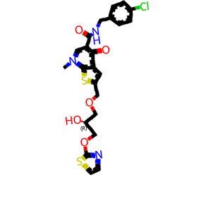 Cn1cc(C(=O)NCc2ccc(Cl)cc2)c(=O)c2cc(COC[C@@H](O)COc3nccs3)sc21